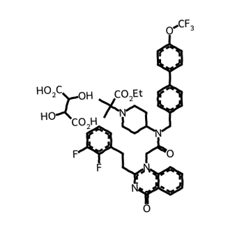 CCOC(=O)C(C)(C)N1CCC(N(Cc2ccc(-c3ccc(OC(F)(F)F)cc3)cc2)C(=O)Cn2c(CCc3cccc(F)c3F)nc(=O)c3ccccc32)CC1.O=C(O)C(O)C(O)C(=O)O